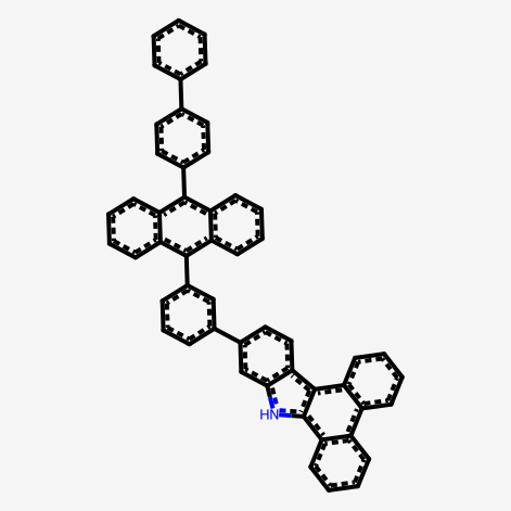 c1ccc(-c2ccc(-c3c4ccccc4c(-c4cccc(-c5ccc6c(c5)[nH]c5c7ccccc7c7ccccc7c65)c4)c4ccccc34)cc2)cc1